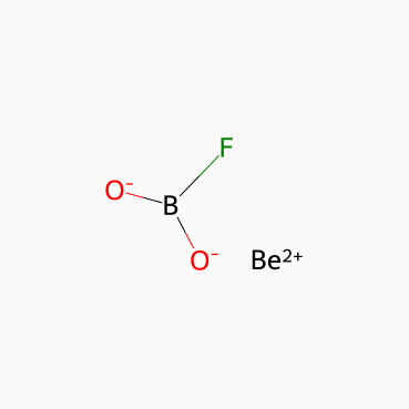 [Be+2].[O-]B([O-])F